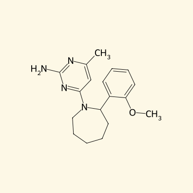 COc1ccccc1C1CCCCCN1c1cc(C)nc(N)n1